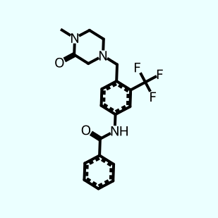 CN1CCN(Cc2ccc(NC(=O)c3ccccc3)cc2C(F)(F)F)CC1=O